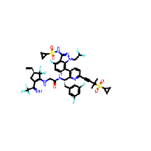 C=C[C@@H]1CC(C(=N)C(F)(F)F)=C(NCC(=O)N[C@@H](Cc2cc(F)cc(F)c2)c2nc(C#CC(C)(C)S(=O)(=O)C3CC3)ccc2-c2ccc(F)c3c(NS(=O)(=O)C4CC4)nn(CC(F)F)c23)C1(F)F